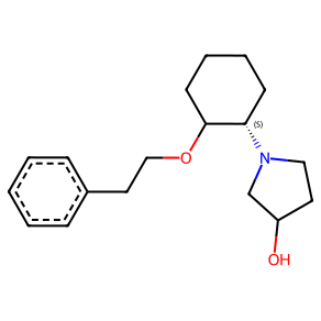 OC1CCN([C@H]2CCCCC2OCCc2ccccc2)C1